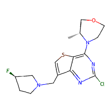 C[C@@H]1COCCN1c1nc(Cl)nc2c(CN3CC[C@@H](F)C3)csc12